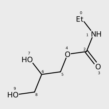 [CH2]CNC(=O)OCC(O)CO